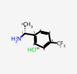 C[C@@H](N)c1ccc(C(F)(F)F)cc1.Cl